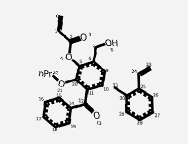 C=CC(=O)Oc1c(CO)ccc(C(=O)c2ccccc2)c1OCCC.C=Cc1ccccc1C